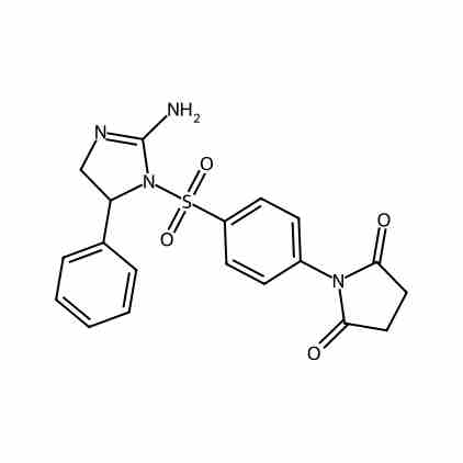 NC1=NCC(c2ccccc2)N1S(=O)(=O)c1ccc(N2C(=O)CCC2=O)cc1